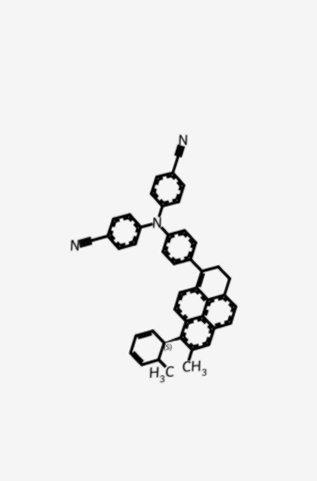 Cc1cc2ccc3c4c(ccc(c1[C@@H]1C=CC=CC1C)c24)=C(c1ccc(N(c2ccc(C#N)cc2)c2ccc(C#N)cc2)cc1)CC3